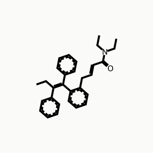 CC/C(=C(\c1ccccc1)c1ccccc1C/C=C/C(=O)N(CC)CC)c1ccccc1